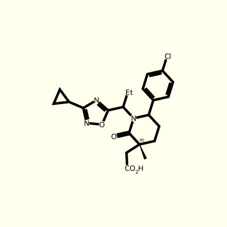 CCC(c1nc(C2CC2)no1)N1C(=O)[C@@](C)(CC(=O)O)CCC1c1ccc(Cl)cc1